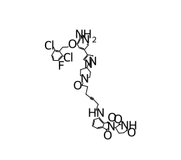 Nc1ncc(-c2cnn(C3CCN(C(=O)CCC#CCCNc4cccc5c4C(=O)N([C@@H]4CCC(=O)NC4=O)C5=O)CC3)c2)cc1OCCc1c(Cl)ccc(F)c1Cl